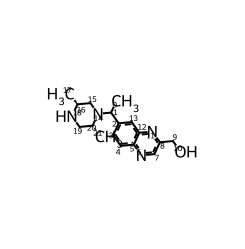 CC(c1ccc2ncc(CO)nc2c1)N1C[C@H](C)NC[C@H]1C